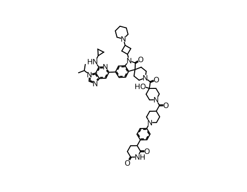 CC(C)n1cnc2cc(-c3ccc4c(c3)N(C3CC(N5CCCCC5)C3)C(=O)C43CCN(C(=O)C4(O)CCN(C(=O)C5CCN(c6ccc(C7CCC(=O)NC7=O)cc6)CC5)CC4)CC3)nc(NC3CC3)c21